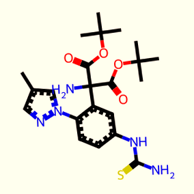 Cc1cnn(-c2ccc(NC(N)=S)cc2C(N)(C(=O)OC(C)(C)C)C(=O)OC(C)(C)C)c1